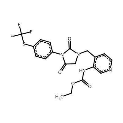 CCOC(=O)Nc1cnccc1CN1CC(=O)N(c2ccc(SC(F)(F)F)cc2)C1=O